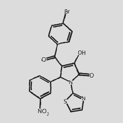 O=C(C1=C(O)C(=O)N(c2nccs2)C1c1cccc([N+](=O)[O-])c1)c1ccc(Br)cc1